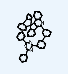 c1ccc(-c2nc(-c3ccccc3)nc(-c3cccc(-c4cccc(-c5nc6ccccc6c6c5-c5ccccc5C65c6ccccc6-c6ccccc65)c4)c3)n2)cc1